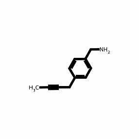 CC#CCc1ccc(CN)cc1